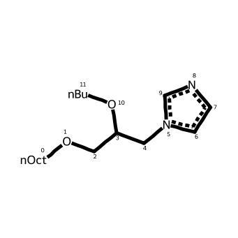 CCCCCCCCOCC(Cn1ccnc1)OCCCC